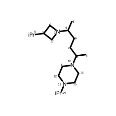 CC(C)C1CN(C(C)CCC(C)N2CCN(C(C)C)CC2)C1